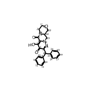 O=C1c2c(O)c(=O)c(C(c3ccccc3)c3ccccc3)nn2CC2COCCN12